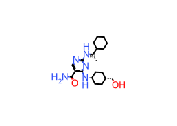 C[C@H](Nc1ncc(C(N)=O)c(N[C@H]2CC[C@@H](CO)CC2)n1)C1CCCCC1